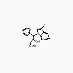 [C]c1cn(C(c2ccccc2)C(O)CNC)c2ccccc12